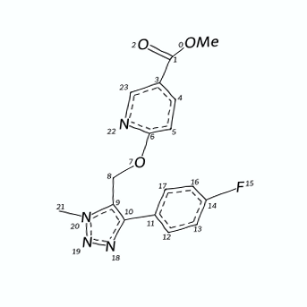 COC(=O)c1ccc(OCc2c(-c3ccc(F)cc3)nnn2C)nc1